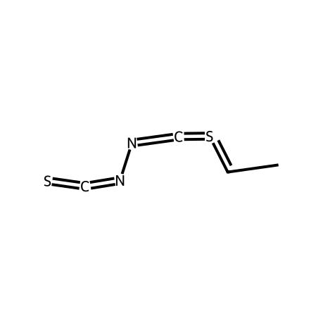 CC=S=C=NN=C=S